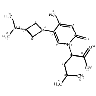 Cc1cc(=O)n(C(CC(C)C)C(=O)O)cc1N1CC(N(C)C)C1